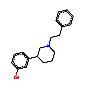 Oc1cccc(C2CCCN(CCc3ccccc3)C2)c1